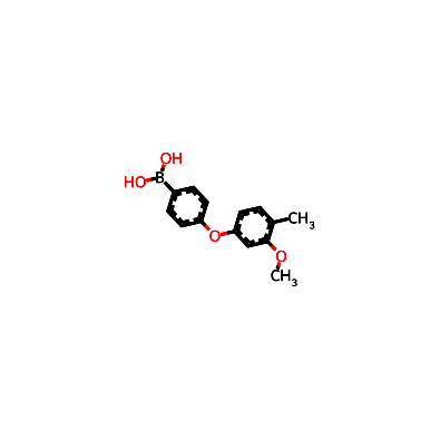 COc1cc(Oc2ccc(B(O)O)cc2)ccc1C